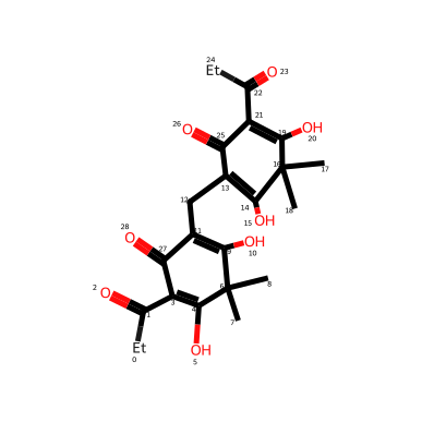 CCC(=O)C1=C(O)C(C)(C)C(O)=C(CC2=C(O)C(C)(C)C(O)=C(C(=O)CC)C2=O)C1=O